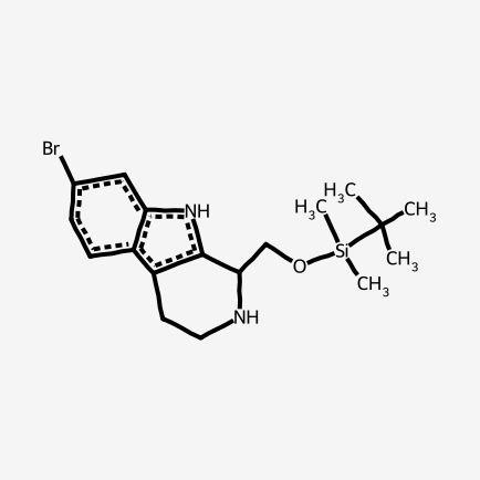 CC(C)(C)[Si](C)(C)OCC1NCCc2c1[nH]c1cc(Br)ccc21